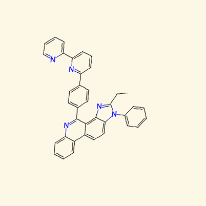 CCc1nc2c3c(-c4ccc(-c5cccc(-c6ccccn6)n5)cc4)nc4ccccc4c3ccc2n1-c1ccccc1